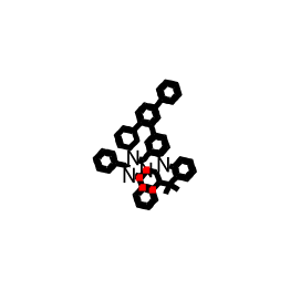 CC1(C)c2ccccc2N(c2ccc(-c3cc(-c4ccccc4)ccc3C3=CC=CCC3)cc2-c2nc(-c3ccccc3)nc(-c3ccccc3)n2)C2C=CC=CC21